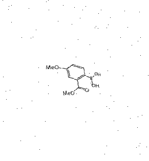 COC(=O)c1cc(OC)ccc1B(O)O